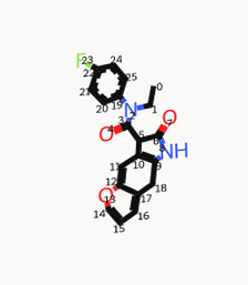 CCN(C(=O)C1C(=O)NC2=C1C=C1OC=CC=C1C2)c1ccc(F)cc1